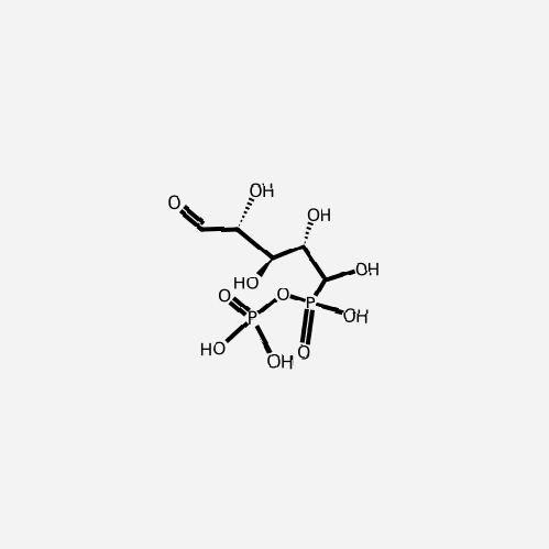 O=C[C@H](O)[C@H](O)[C@H](O)C(O)P(=O)(O)OP(=O)(O)O